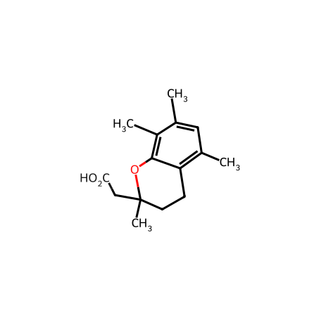 Cc1cc(C)c2c(c1C)OC(C)(CC(=O)O)CC2